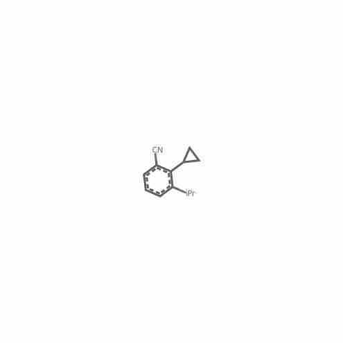 C[C](C)c1cccc(C#N)c1C1CC1